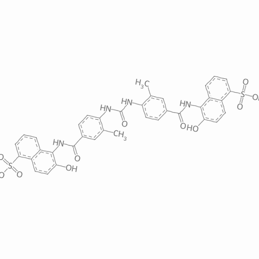 Cc1cc(C(=O)Nc2c(O)ccc3c(S(=O)(=O)O)cccc23)ccc1NC(=O)Nc1ccc(C(=O)Nc2c(O)ccc3c(S(=O)(=O)O)cccc23)cc1C